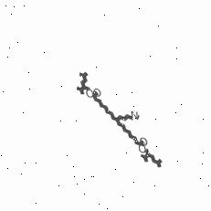 CC(C)CCC(COC(=O)CCCCCCCC(CCCCCCCC(=O)OCC(CCC(C)C)C(C)C)CCCCN(C)C)C(C)C